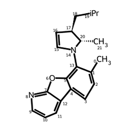 Cc1ccc2c(oc3ncccc32)c1N1C=C[C@@H](CC(C)C)[C@@H]1C